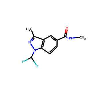 CNC(=O)c1ccc2c(c1)c(C)nn2C(F)F